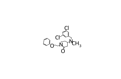 CN(Cc1cc(Cl)cc(Cl)c1)C1CCN(CCOc2ccccc2)C(=O)C1